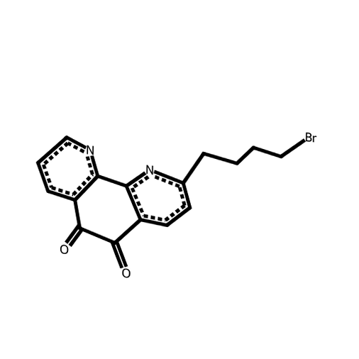 O=C1C(=O)c2ccc(CCCCBr)nc2-c2ncccc21